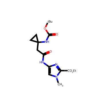 CCOC(=O)c1nc(NC(=O)CC2(NC(=O)OC(C)(C)C)CC2)cn1C